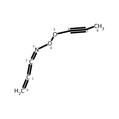 C=C=C=NOOC#CC